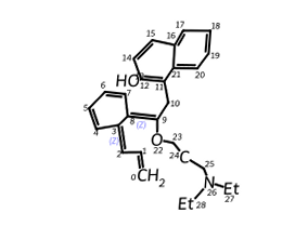 C=C/C=c1/cccc/c1=C(\Cc1c(O)ccc2ccccc12)OCCCN(CC)CC